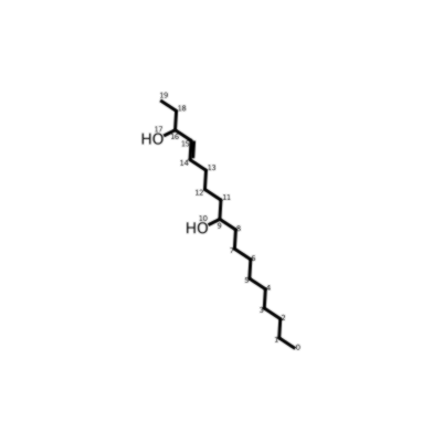 CCCCCCCCCC(O)CCCC=CC(O)CC